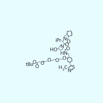 Cc1ncsc1-c1ccc(CNC(=O)[C@@H]2C[C@@H](O)CN2C(=O)[C@@H](C(C)C)N2Cc3ccccc3C2=O)c(OCCOCCOCCOCC(=O)OC(C)(C)C)c1